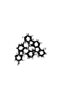 Cc1ccc2c3ccc(C)c4c3n(c2c1)-c1ccccc1B4n1c2ccccc2c2ccc3c(c21)C(C)(C)c1ccccc1-3